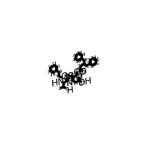 CC(C)C(NC(=O)CCc1ccccc1)C(=O)NC(CC(=O)O)C(=O)COC(=O)CC(Cc1ccccc1)Cc1ccccc1